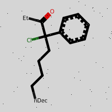 CCCCCCCCCCCCCCC(Cl)(C(=O)CC)c1ccccc1